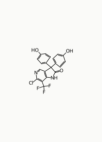 O=C1Nc2c(cnc(Cl)c2C(F)(F)F)C1(c1ccc(O)cc1)c1ccc(O)cc1